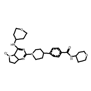 O=C(NC1CCOCC1)c1ccc(C2CCN(C3=NC4CC[S+]([O-])C4C(NC4CCOCC4)=N3)CC2)cc1